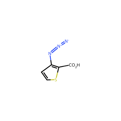 [N-]=[N+]=Nc1ccsc1C(=O)O